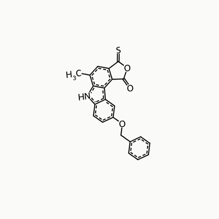 Cc1cc2c(c3c1[nH]c1ccc(OCc4ccccc4)cc13)C(=O)OC2=S